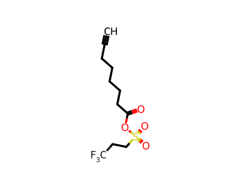 C#CCCCCCC(=O)OS(=O)(=O)CCC(F)(F)F